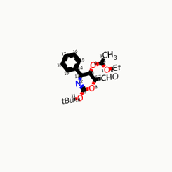 CCOC(C)OC1C(C=O)OC(OC(C)(C)C)=NC1c1ccccc1